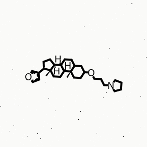 C[C@]12CCC(OCCCN3CCCC3)CC1CC[C@@H]1[C@H]2CC[C@]2(C)C(c3ccoc3)CC[C@@H]12